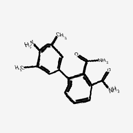 Cc1cc(-c2cccc(C(N)=O)c2C(N)=O)cc(C)c1N